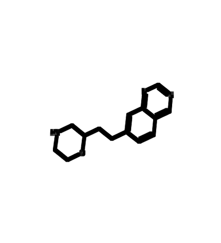 c1ncc2ccc(CCC3CNCCO3)cc2n1